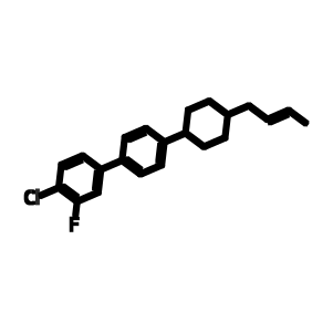 C/C=C/CC1CCC(c2ccc(-c3ccc(Cl)c(F)c3)cc2)CC1